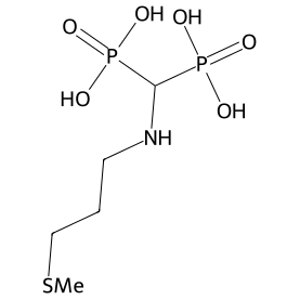 CSCCCNC(P(=O)(O)O)P(=O)(O)O